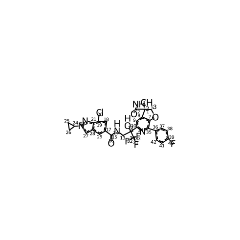 C[C@]1(C(N)=O)COc2c1cc(C(O)(CNC(=O)c1cc(Cl)c3nn(C4CC4)cc3c1)C(F)(F)F)nc2-c1ccc(F)cc1